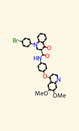 COc1cc2nccc(Oc3ccc(NC(=O)c4cn(-c5ccc(Br)cc5)c5ccccc5c4=O)cc3)c2cc1OC